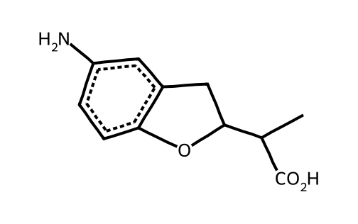 CC(C(=O)O)C1Cc2cc(N)ccc2O1